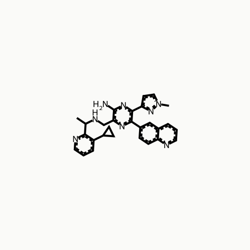 CC(NCc1nc(-c2ccc3ncccc3c2)c(-c2ccn(C)n2)nc1N)c1ncccc1C1CC1